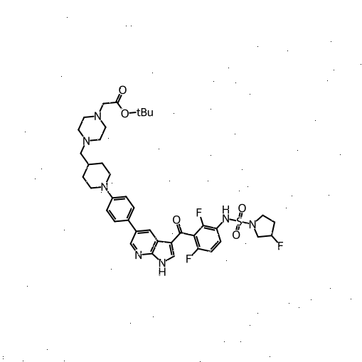 CC(C)(C)OC(=O)CN1CCN(CC2CCN(c3ccc(-c4cnc5[nH]cc(C(=O)c6c(F)ccc(NS(=O)(=O)N7CCC(F)C7)c6F)c5c4)cc3)CC2)CC1